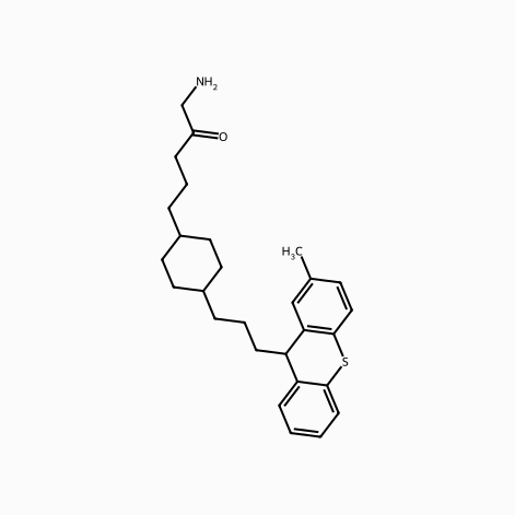 Cc1ccc2c(c1)C(CCCC1CCC(CCCC(=O)CN)CC1)c1ccccc1S2